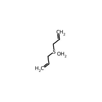 C=CCSCC=C.O